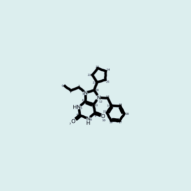 CCCN1c2[nH]c(=O)[nH]c(=O)c2N(Cc2ccccc2)C1C1CCCC1